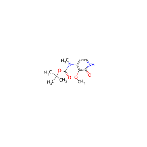 COc1c(N(C)C(=O)OC(C)(C)C)cc[nH]c1=O